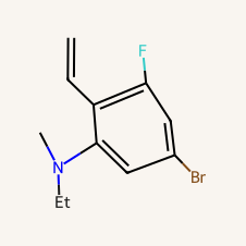 C=Cc1c(F)cc(Br)cc1N(C)CC